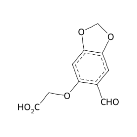 O=Cc1cc2c(cc1OCC(=O)O)OCO2